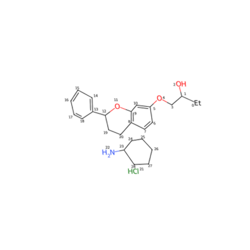 CCC(O)COc1ccc2c(c1)OC(c1ccccc1)CC2.Cl.NC1CCCCC1